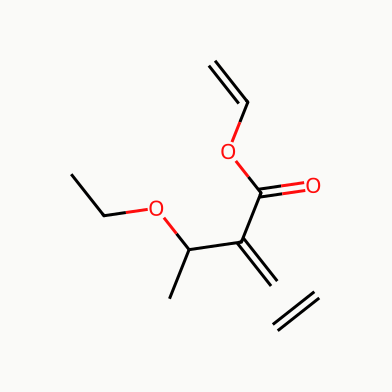 C=C.C=COC(=O)C(=C)C(C)OCC